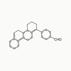 O=Cc1ccc(C2=c3ccc4c(c3CCC2)CC=c2ccccc2=4)cc1